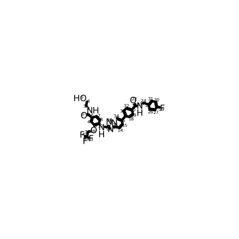 O=C(NCCO)c1ccc(Nc2nc3ccc(-c4ccc(C(=O)NCc5ccc(F)cc5)cc4)cn3n2)c(OCC(F)(F)F)c1